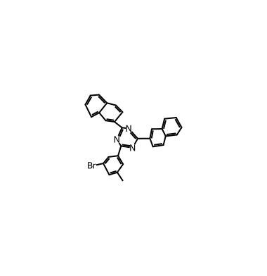 Cc1cc(Br)cc(-c2nc(-c3ccc4ccccc4c3)nc(-c3ccc4ccccc4c3)n2)c1